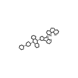 c1ccc(-c2ccc(-c3c4ccccc4c(-c4ccc5c(c4)c4cccnc4n5-c4ccc5ccc6cccnc6c5n4)c4ccccc34)cc2)cc1